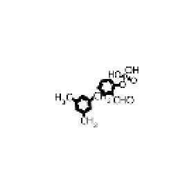 Cc1cc(C)cc(C)c1.O=Cc1ccccc1OP(=O)(O)O